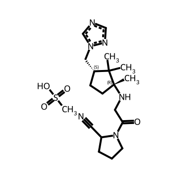 CC1(C)[C@@H](Cn2cncn2)CC[C@@]1(C)NCC(=O)N1CCCC1C#N.CS(=O)(=O)O